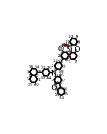 c1ccc2c(c1)Oc1ccccc1[Si]21c2ccccc2Oc2cc(-c3ccc(N(c4ccc(-c5cccc6ccccc56)cc4)c4ccc5c(c4)oc4ccccc45)cc3)ccc21